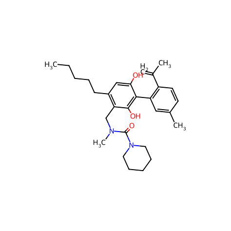 C=C(C)c1ccc(C)cc1-c1c(O)cc(CCCCC)c(CN(C)C(=O)N2CCCCC2)c1O